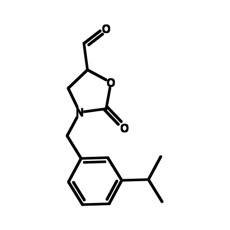 CC(C)c1cccc(CN2CC(C=O)OC2=O)c1